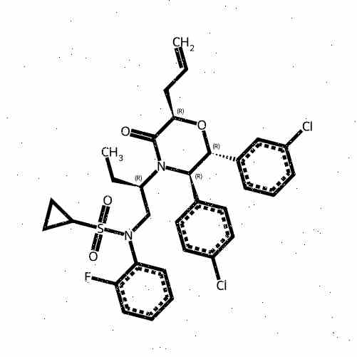 C=CC[C@H]1O[C@H](c2cccc(Cl)c2)[C@@H](c2ccc(Cl)cc2)N([C@H](CC)CN(c2ccccc2F)S(=O)(=O)C2CC2)C1=O